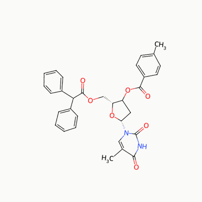 Cc1ccc(C(=O)OC2C[C@H](n3cc(C)c(=O)[nH]c3=O)O[C@@H]2COC(=O)C(c2ccccc2)c2ccccc2)cc1